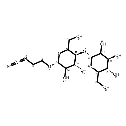 [N-]=[N+]=NCCO[C@@H]1OC(CO)[C@@H](O[C@H]2OC(CO)[C@@H](O)[C@H](O)C2O)[C@H](O)C1O